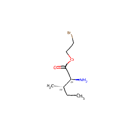 CC[C@H](C)[C@H](N)C(=O)OCCBr